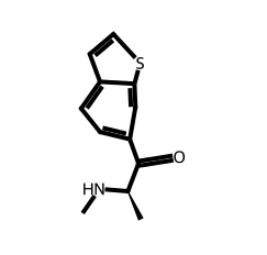 CN[C@H](C)C(=O)c1ccc2ccsc2c1